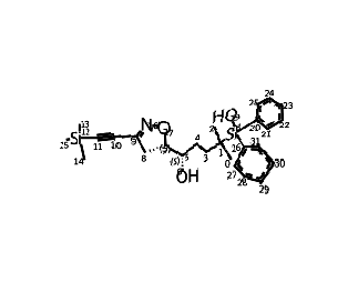 CC(C)(CC[C@H](O)[C@@H]1CC(C#C[Si](C)(C)C)=NO1)[Si](O)(c1ccccc1)c1ccccc1